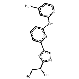 Cc1ccnc(Nc2cccc(-c3cnc([C@@H](O)CO)s3)n2)c1